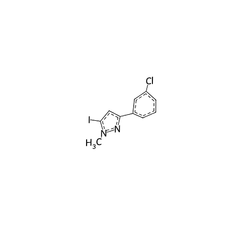 Cn1nc(-c2cccc(Cl)c2)cc1I